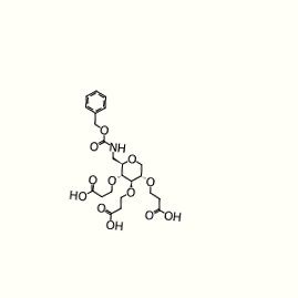 O=C(O)CCO[C@H]1[C@H](OCCC(=O)O)[C@@H](CNC(=O)OCc2ccccc2)OC[C@@H]1OCCC(=O)O